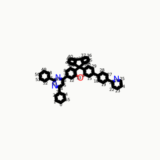 c1ccc(-c2cc(-c3ccc4c(c3)Oc3cc(-c5ccc(-c6ccccn6)cc5)ccc3C43c4ccccc4-c4ccccc43)nc(-c3ccccc3)n2)cc1